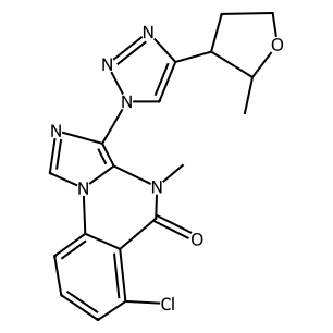 CC1OCCC1c1cn(-c2ncn3c4cccc(Cl)c4c(=O)n(C)c23)nn1